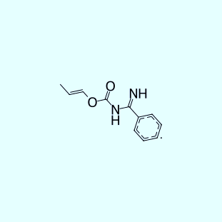 CC=COC(=O)NC(=N)c1cc[c]cc1